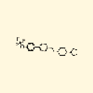 FC(F)(F)Oc1ccc(-c2ccc(CC[C@H]3CC[C@H](C4CCCC4)CC3)cc2)cc1